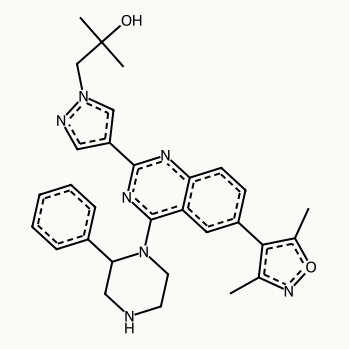 Cc1noc(C)c1-c1ccc2nc(-c3cnn(CC(C)(C)O)c3)nc(N3CCNCC3c3ccccc3)c2c1